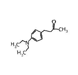 CCN(CC)c1ccc(CCC(C)=O)cc1